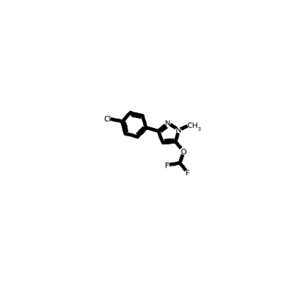 Cn1nc(-c2ccc(Cl)cc2)cc1OC(F)F